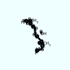 C[C@H](c1ccc(C#CC2CCN(C(=O)CCCCC(=O)N3CCC(c4ccc5c(c4)n(C)c(=O)n5[C@H]4CCC(=O)NC4=O)CC3)CC2)c2ccccc12)N1CCC(C(=O)NCc2cccc(F)c2)CC1.O=CO